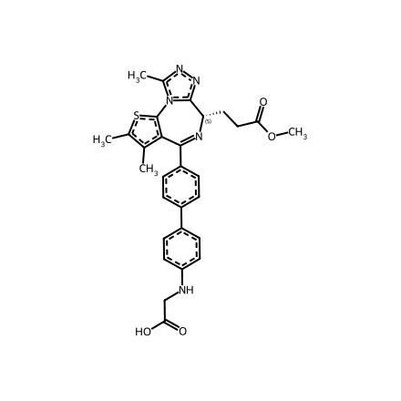 COC(=O)CC[C@@H]1N=C(c2ccc(-c3ccc(NCC(=O)O)cc3)cc2)c2c(sc(C)c2C)-n2c(C)nnc21